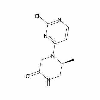 C[C@H]1CNC(=O)CN1c1ccnc(Cl)n1